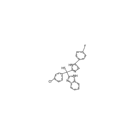 Fc1ccc(-c2cnc(C(S)(c3ccc(Cl)cc3)c3nc4ccccc4[nH]3)[nH]2)cc1